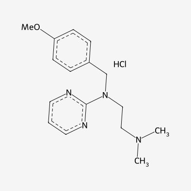 COc1ccc(CN(CCN(C)C)c2ncccn2)cc1.Cl